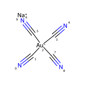 N#[C][Au-]([C]#N)([C]#N)[C]#N.[Na+]